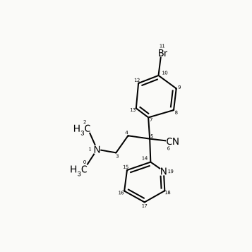 CN(C)CCC(C#N)(c1ccc(Br)cc1)c1ccccn1